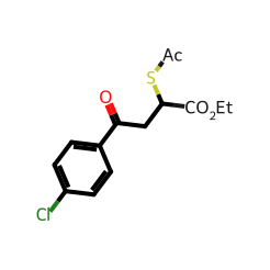 CCOC(=O)C(CC(=O)c1ccc(Cl)cc1)SC(C)=O